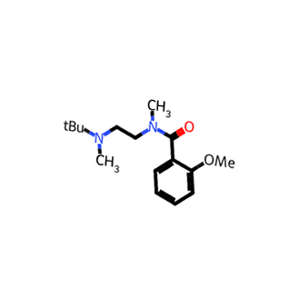 COc1ccccc1C(=O)N(C)CCN(C)C(C)(C)C